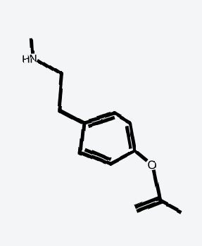 C=C(C)Oc1ccc(CCNC)cc1